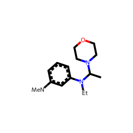 CCN(c1cccc(NC)c1)C(C)N1CCOCC1